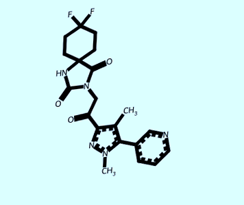 Cc1c(C(=O)CN2C(=O)NC3(CCC(F)(F)CC3)C2=O)nn(C)c1-c1cccnc1